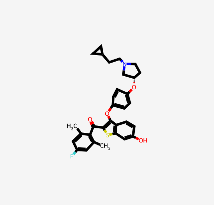 Cc1cc(F)cc(C)c1C(=O)c1sc2cc(O)ccc2c1Oc1ccc(O[C@H]2CCN(CCC3CC3)C2)cc1